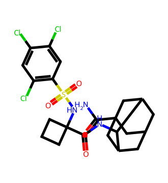 NC(=O)C12CC3CC(C1)C(NC(=O)C1(NS(=O)(=O)c4cc(Cl)c(Cl)cc4Cl)CCC1)C(C3)C2